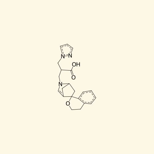 O=C(O)C(CN1C=C2CC1CC21OCCc2ccccc21)Cn1cccn1